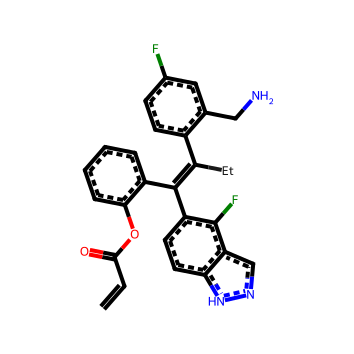 C=CC(=O)Oc1ccccc1/C(=C(/CC)c1ccc(F)cc1CN)c1ccc2[nH]ncc2c1F